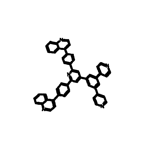 c1ccc2c(-c3ccc(-c4cc(-c5cc(-c6ccncc6)cc(-c6ccncc6)c5)cc(-c5ccc(-c6ccnc7ccccc67)cc5)n4)cc3)ccnc2c1